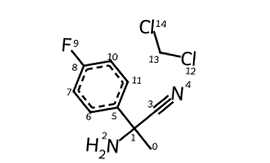 CC(N)(C#N)c1ccc(F)cc1.ClCCl